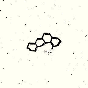 [CH2]c1cccc2ccc3cc4ccccc4cc3c12